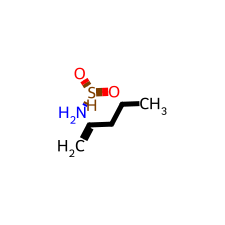 C=CCCC.N[SH](=O)=O